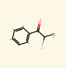 [CH2]CC(F)C(=O)c1ccccc1